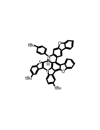 CC(C)(C)c1ccc(Nc2cc3oc4ccccc4c3cc2-c2c3c4c(c5cc(C(C)(C)C)ccc5n4-c4c(sc5ccc(C(C)(C)C)cc45)B3)c3oc4ccccc4c23)cc1